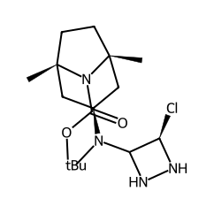 CN(C1NN[C@@H]1Cl)[C@H]1C[C@]2(C)CC[C@](C)(C1)N2C(=O)OC(C)(C)C